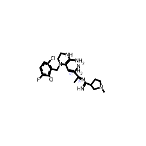 CC(=N\C(=N)C1CCN(C)C1)/C(N)=C/C1=C(N)NCCN1Cc1c(Cl)ccc(F)c1Cl